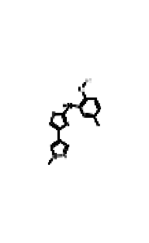 CCOc1ccc(C)cc1Nc1nc(-c2cnn(C)c2)cs1